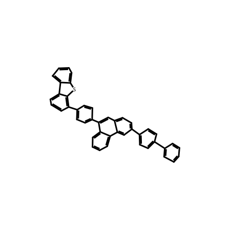 c1ccc(-c2ccc(-c3ccc4cc(-c5ccc(-c6cccc7c6sc6ccccc67)cc5)c5ccccc5c4c3)cc2)cc1